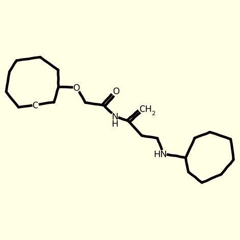 C=C(CCNC1CCCCCCC1)NC(=O)COC1CCCCCCCC1